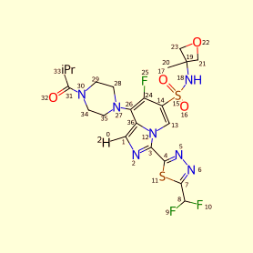 [2H]c1nc(-c2nnc(C(F)F)s2)n2cc(S(=O)(=O)NC3(C)COC3)c(F)c(N3CCN(C(=O)C(C)C)CC3)c12